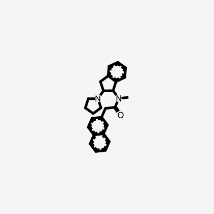 CN(C(=O)Cc1ccc2ccccc2c1)C1c2ccccc2CC1N1CCCC1